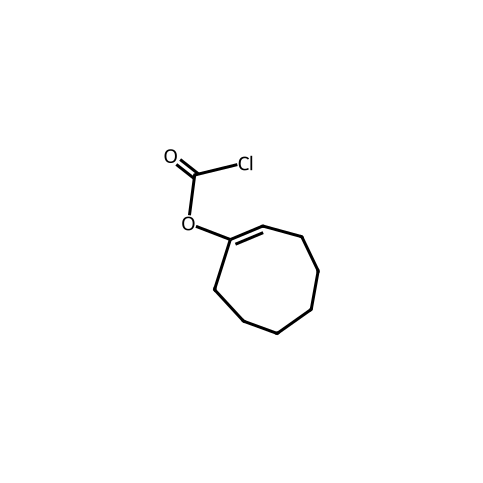 O=C(Cl)O/C1=C/CCCCCC1